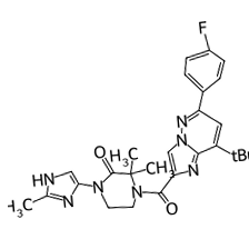 Cc1nc(N2CCN(C(=O)c3cn4nc(-c5ccc(F)cc5)cc(C(C)(C)C)c4n3)C(C)(C)C2=O)c[nH]1